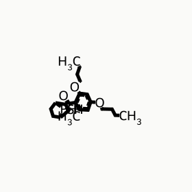 CCCCOc1cc(C)c(C(=O)[PH]2(S)C3CCC2CC3)c(OCCCC)c1